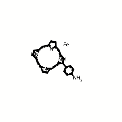 Nc1ccc(-c2cc3cc4nc(cc5ccc(cc6nc(cc2[nH]3)C=C6)[nH]5)C=C4)cc1.[Fe]